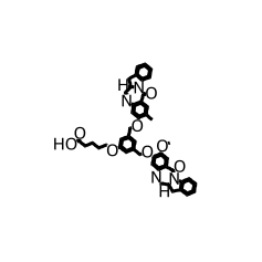 COc1cc2c(cc1OCc1cc(COc3cc4c(cc3C)C(=O)N3c5ccccc5C[C@H]3C=N4)cc(OCCCCC(=O)O)c1)N=C[C@@H]1Cc3ccccc3N1C2=O